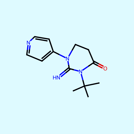 CC(C)(C)N1C(=N)N(c2ccncc2)CCC1=O